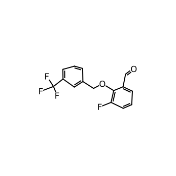 O=Cc1cccc(F)c1OCc1cccc(C(F)(F)F)c1